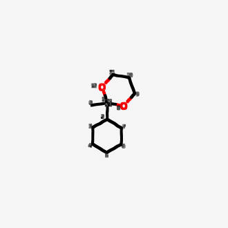 C[Si]1(C2CCCCC2)OCCCO1